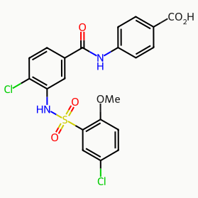 COc1ccc(Cl)cc1S(=O)(=O)Nc1cc(C(=O)Nc2ccc(C(=O)O)cc2)ccc1Cl